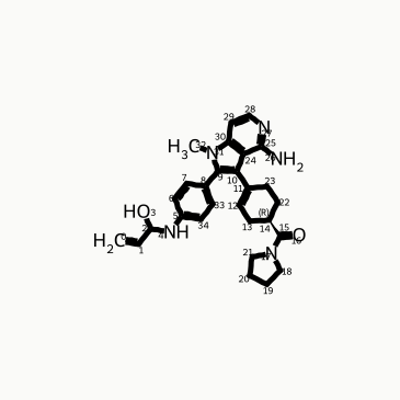 C=CC(O)Nc1ccc(-c2c(C3=CC[C@H](C(=O)N4CCCC4)CC3)c3c(N)nccc3n2C)cc1